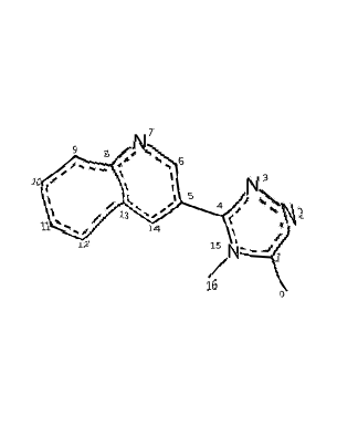 Cc1nnc(-c2cnc3ccccc3c2)n1C